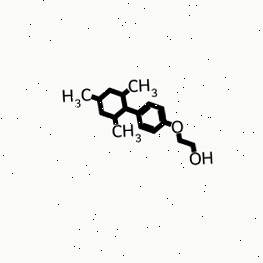 CC1CC(C)C(c2ccc(OCCO)cc2)C(C)C1